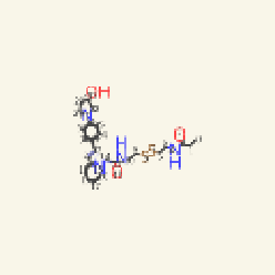 CCC(=O)NCCSSCCNC(=O)C[n+]1ccccc1/C=C/c1ccc(N2CCC(O)C2)cc1